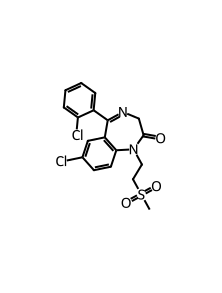 CS(=O)(=O)CCN1C(=O)CN=C(c2ccccc2Cl)c2cc(Cl)ccc21